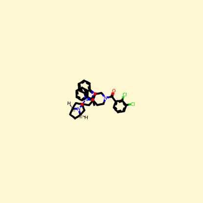 Cc1nc2ccccc2n1[C@H]1C[C@H]2CC[C@@H](C1)N2CCC1(c2ccccc2)CCN(C(=O)c2cccc(Cl)c2Cl)CC1